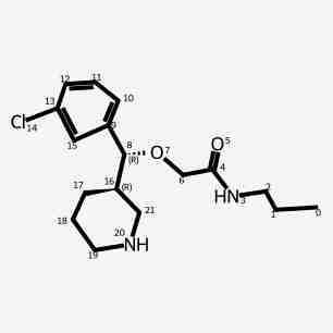 CCCNC(=O)CO[C@@H](c1cccc(Cl)c1)[C@@H]1CCCNC1